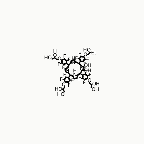 CCC(O)COc1c(F)c(F)c(-c2c3nc(c(-c4c(F)c(F)c(OCC(O)CO)c(F)c4F)c4ccc([nH]4)c(-c4c(F)c(F)c(OCC(O)CO)c(F)c4F)c4nc(c(-c5c(F)c(F)c(OCC(O)CO)c(F)c5F)c5ccc2[nH]5)C=C4)[C@@H](O)[C@H]3O)c(F)c1F